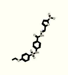 CCOc1ccc(S(=O)(=O)Nc2ccc(C(=O)N/N=C/c3ccc([N+](=O)[O-])o3)cc2)cc1